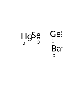 [Ba].[Ge].[Hg].[Se]